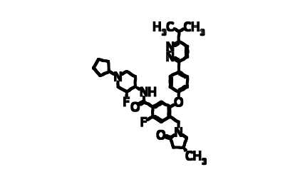 CC(C)c1ccc(-c2ccc(Oc3cc(C(=O)N[C@@H]4CCN(C5CCCC5)C[C@@H]4F)c(F)cc3CN3C[C@@H](C)CC3=O)cc2)nn1